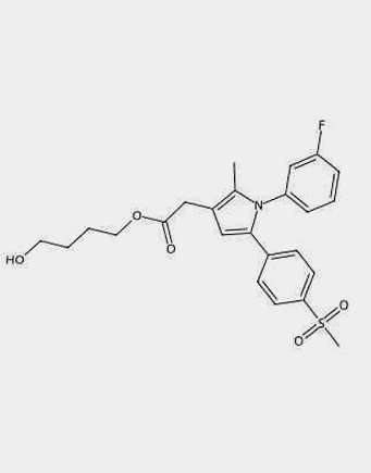 Cc1c(CC(=O)OCCCCO)cc(-c2ccc(S(C)(=O)=O)cc2)n1-c1cccc(F)c1